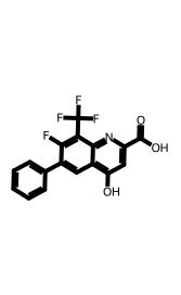 O=C(O)c1cc(O)c2cc(-c3ccccc3)c(F)c(C(F)(F)F)c2n1